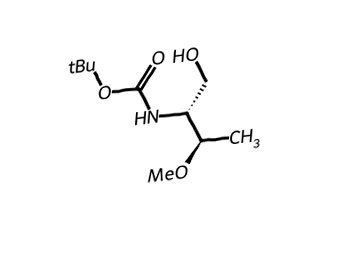 CO[C@H](C)[C@@H](CO)NC(=O)OC(C)(C)C